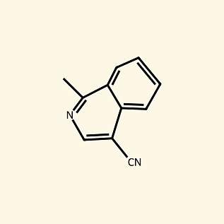 Cc1ncc(C#N)c2ccccc12